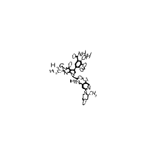 Cc1nc2c(c(-c3cc(C(N)=O)c(O)c4c3OCO4)cn2CC(=O)Nc2cc(N3CCOC[C@@H]3C)ncc2Cl)c(=O)n1C